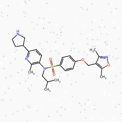 Cc1nc(C2CCNC2)ccc1N(CC(C)C)S(=O)(=O)c1ccc(OCc2c(C)noc2C)cc1